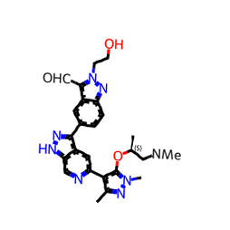 CNC[C@H](C)Oc1c(-c2cc3c(-c4ccc5nn(CCO)c(C=O)c5c4)n[nH]c3cn2)c(C)nn1C